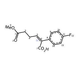 COC(=O)CC/C=C(\C(=O)O)c1ccc(F)cc1